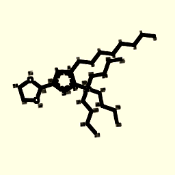 CCCCCCCCc1cc(C2OCCO2)s[c]1[Sn]([CH2]CCC)([CH2]CCC)[CH2]CCC